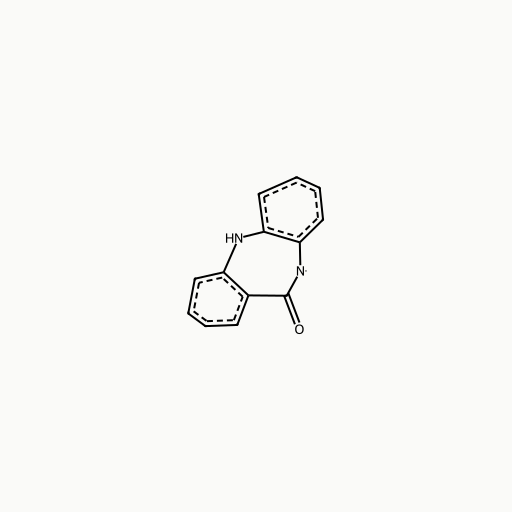 O=C1[N]c2ccccc2Nc2ccccc21